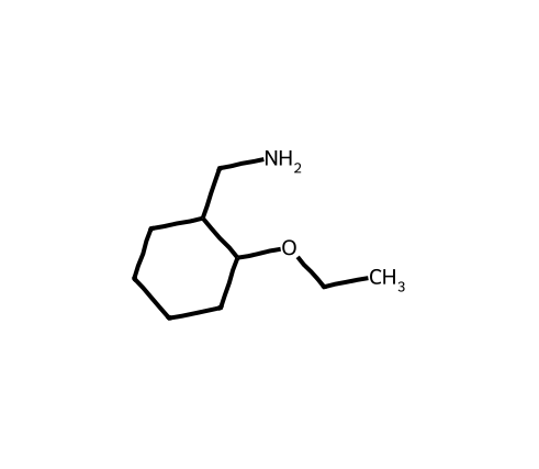 CCOC1CCCCC1CN